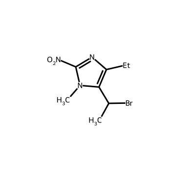 CCc1nc([N+](=O)[O-])n(C)c1C(C)Br